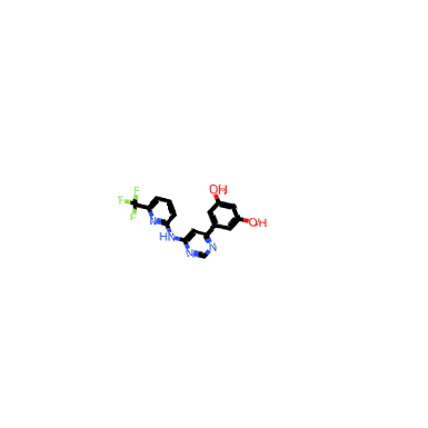 Oc1cc(O)cc(-c2cc(Nc3cccc(C(F)(F)F)n3)ncn2)c1